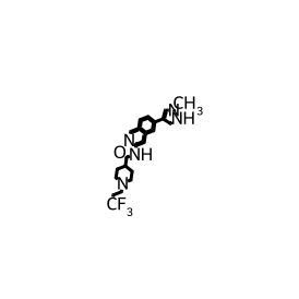 CN1C=C(c2ccc3cnc(NC(=O)C4CCN(CCC(F)(F)F)CC4)cc3c2)CN1